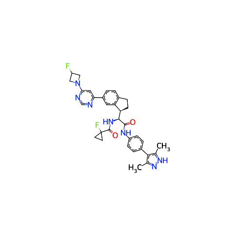 Cc1n[nH]c(C)c1-c1ccc(NC(=O)[C@@H](NC(=O)C2(F)CC2)[C@@H]2CCc3ccc(-c4cc(N5CC(F)C5)ncn4)cc32)cc1